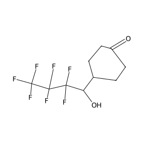 O=C1CCC(C(O)C(F)(F)C(F)(F)C(F)(F)F)CC1